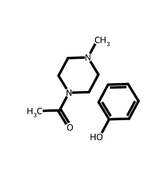 CC(=O)N1CCN(C)CC1.Oc1ccccc1